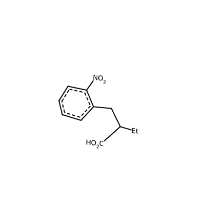 CCC(Cc1ccccc1[N+](=O)[O-])C(=O)O